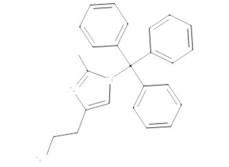 N#CCCc1cn(C(c2ccccc2)(c2ccccc2)c2ccccc2)c(F)n1